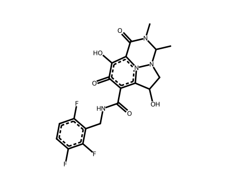 CC1N(C)C(=O)c2c(O)c(=O)c(C(=O)NCc3c(F)ccc(F)c3F)c3n2N1CC3O